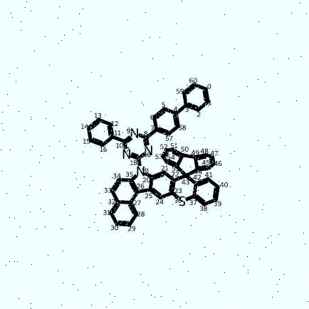 c1ccc(-c2ccc(-c3nc(-c4ccccc4)nc(-n4c5cc6c(cc5c5c7ccccc7ccc54)Sc4ccccc4C64c5ccccc5-c5ccccc54)n3)cc2)cc1